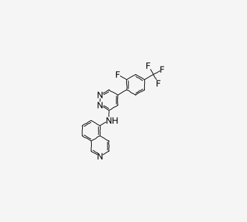 Fc1cc(C(F)(F)F)ccc1-c1cnnc(Nc2cccc3cnccc23)c1